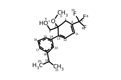 COC1(CO)CC(C(F)(F)F)=CC=C1c1cccc(C(C)C)c1